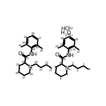 CCCCN1CCCCC1C(=O)Nc1c(C)cccc1C.CCCCN1CCCCC1C(=O)Nc1c(C)cccc1C.Cl.O